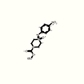 CC(C)(C)OC(=O)N1CCS(=O)(=Nc2ccc([N+](=O)[O-])cc2)CC1